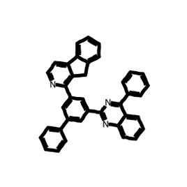 c1ccc(-c2cc(-c3nc(-c4ccccc4)c4ccccc4n3)cc(-c3nccc4c3Cc3ccccc3-4)c2)cc1